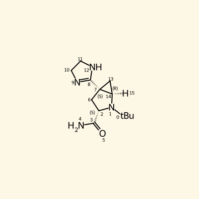 CC(C)(C)N1[C@H](C(N)=O)C[C@@]2(C3=NCCN3)C[C@@H]12